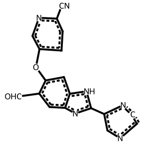 N#Cc1ccc(Oc2cc3[nH]c(-c4cnccn4)nc3cc2C=O)cn1